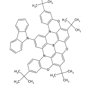 CC(C)(C)c1ccc2c(c1)Oc1c(C(C)(C)C)cc3c4c1N2c1cc(-n2c5ccccc5c5ccccc52)cc2c1B4c1c(cc(C(C)(C)C)c4c1N2c1ccc(C(C)(C)C)cc1O4)O3